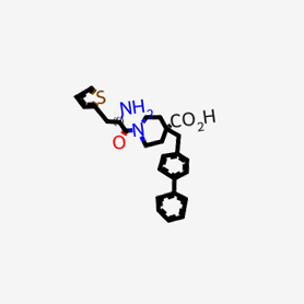 N[C@@H](Cc1cccs1)C(=O)N1CCC(Cc2ccc(-c3ccccc3)cc2)(C(=O)O)CC1